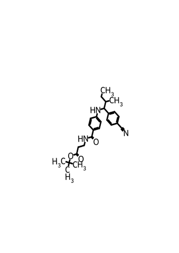 CCC(C)C(Nc1ccc(C(=O)NCCC(=O)OC(C)(C)C)cc1)c1ccc(C#N)cc1